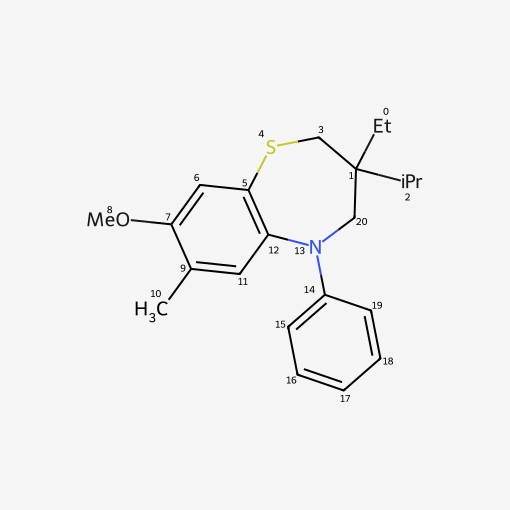 CCC1(C(C)C)CSc2cc(OC)c(C)cc2N(c2ccccc2)C1